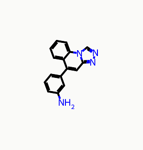 Nc1cccc(-c2cc3nncn3c3ccccc23)c1